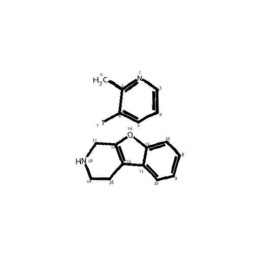 Cc1ncccc1I.c1ccc2c3c(oc2c1)CNCC3